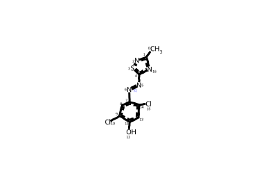 Cc1nsc(/N=N/c2cc(Cl)c(O)cc2Cl)n1